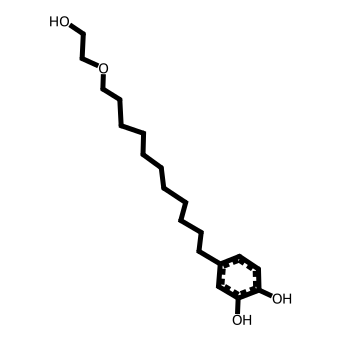 OCCOCCCCCCCCCCCc1ccc(O)c(O)c1